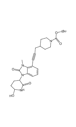 Cn1c(=O)n(C2CCC(O)NC2=O)c2cccc(C#CCC3CCN(C(=O)OC(C)(C)C)CC3)c21